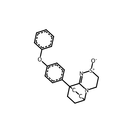 [O-][S+]1CCN2C(=N1)C1(c3ccc(Oc4ccccc4)cc3)CCC2CC1